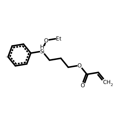 C=CC(=O)OCCC[SiH](OCC)c1cc[c]cc1